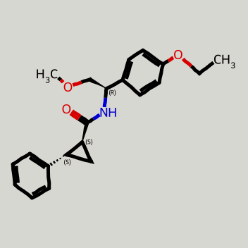 CCOc1ccc([C@H](COC)NC(=O)[C@H]2C[C@@H]2c2ccccc2)cc1